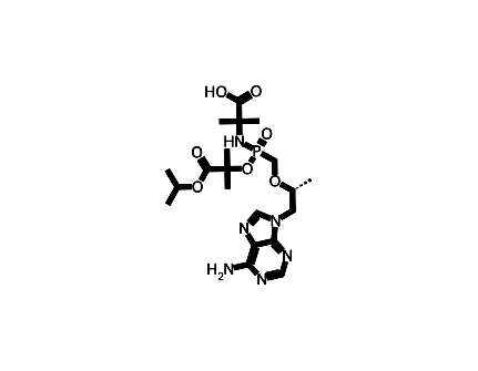 CC(C)OC(=O)C(C)(C)OP(=O)(CO[C@H](C)Cn1cnc2c(N)ncnc21)NC(C)(C)C(=O)O